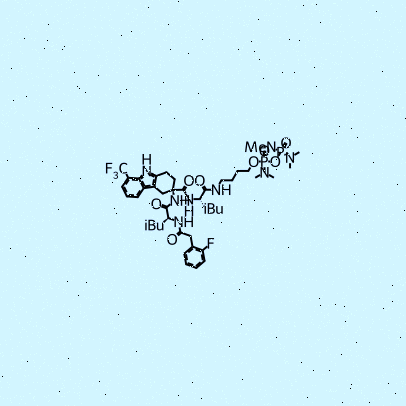 CCC(C)[C@H](NC(=O)Cc1ccccc1F)C(=O)N[C@]1(C(=O)N[C@H](C(=O)NCCCCOP(=O)(OP(=O)(NC)N(C)C)N(C)C)C(C)CC)CCc2[nH]c3c(C(F)(F)F)cccc3c2C1